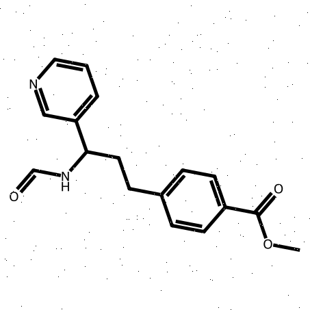 COC(=O)c1ccc(CCC(NC=O)c2cccnc2)cc1